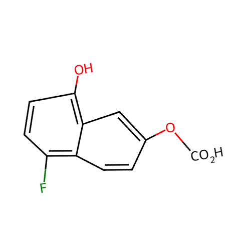 O=C(O)Oc1ccc2c(F)ccc(O)c2c1